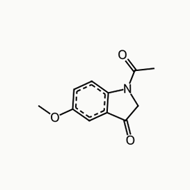 COc1ccc2c(c1)C(=O)CN2C(C)=O